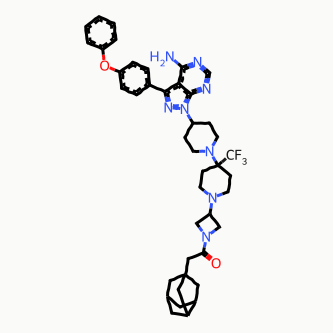 Nc1ncnc2c1c(-c1ccc(Oc3ccccc3)cc1)nn2C1CCN(C2(C(F)(F)F)CCN(C3CN(C(=O)CC45CC6CC(C4)C(C6)C5)C3)CC2)CC1